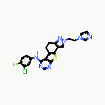 Fc1ccc(Nc2ncnc3sc4c(c23)CCc2nn(CCn3ccnc3)cc2-4)cc1Cl